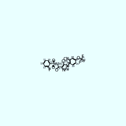 Cc1c(C(=O)NS(=O)(=O)c2ccccc2F)nnn1-c1ccc(OC(F)(F)F)cc1Cl